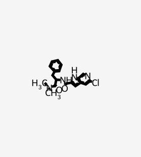 CN(C)C(=O)C(Cc1ccccc1)NC(=O)c1cc2cc(Cl)ncc2[nH]1